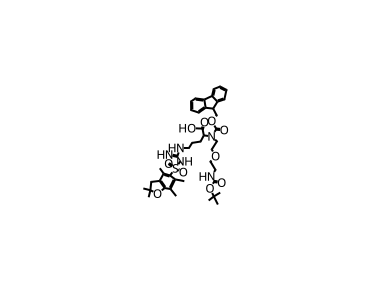 Cc1c(C)c(S(=O)(=O)NC(=N)NCCCC(C(=O)O)N(CCOCCNC(=O)OC(C)(C)C)C(=O)OCC2c3ccccc3-c3ccccc32)c(C)c2c1OC(C)(C)C2